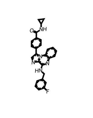 O=C(NC1CC1)c1ccc(-c2cnc3c(NCc4cccc(F)c4)nc4ccccc4n23)cc1